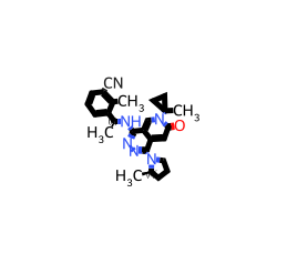 Cc1c(C#N)cccc1[C@@H](C)Nc1nnc(N2CCC[C@H]2C)c2cc(=O)n(C3(C)CC3)cc12